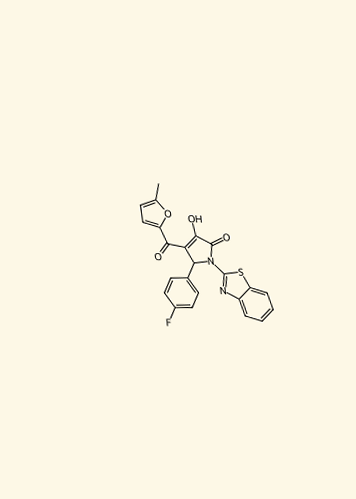 Cc1ccc(C(=O)C2=C(O)C(=O)N(c3nc4ccccc4s3)C2c2ccc(F)cc2)o1